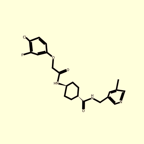 Cc1cncc(CNC(=O)[C@H]2CC[C@H](NC(=O)COc3ccc(Cl)c(F)c3)CC2)c1